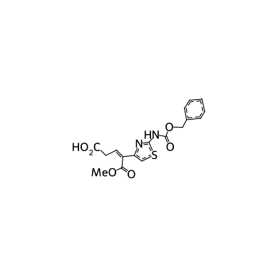 COC(=O)C(=CCC(=O)O)c1csc(NC(=O)OCc2ccccc2)n1